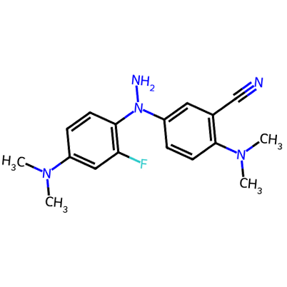 CN(C)c1ccc(N(N)c2ccc(N(C)C)c(C#N)c2)c(F)c1